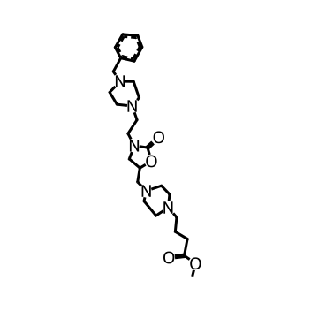 COC(=O)CCCN1CCN(CC2CN(CCN3CCN(Cc4ccccc4)CC3)C(=O)O2)CC1